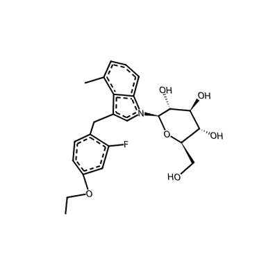 CCOc1ccc(Cc2cn([C@@H]3O[C@H](CO)[C@@H](O)[C@H](O)[C@H]3O)c3cccc(C)c23)c(F)c1